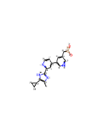 Cc1nc(-c2cc(-c3cncc(C[SH](=O)=O)c3)ccn2)[nH]c1C1CC1